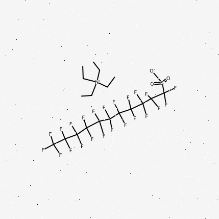 CC[N+](CC)(CC)CC.O=S(=O)([O-])C(F)(F)C(F)(F)C(F)(F)C(F)(F)C(F)(F)C(F)(F)C(F)(F)C(F)(F)C(F)(F)C(F)(F)C(F)(F)F